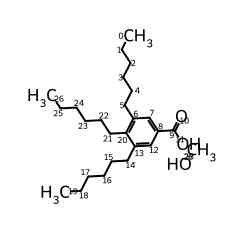 CCCCCCc1cc(C(=O)O)cc(CCCCCC)c1CCCCCC.CO